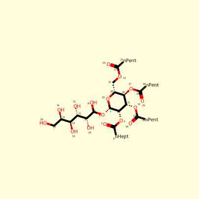 CCCCCCCC(=O)O[C@@H]1[C@H](OC(O)[C@H](O)[C@@H](O)[C@@H](O)[C@H](O)CO)O[C@H](COC(=O)CCCCC)[C@@H](OC(=O)CCCCC)[C@@H]1OC(=O)CCCCC